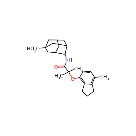 Cc1ccc(OC(C)(C)C(=O)NC2C3CC4CC2CC(C(=O)O)(C4)C3)c2c1CCC2